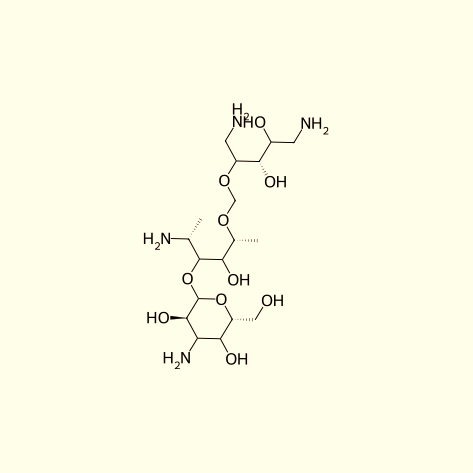 C[C@@H](N)C(OC1O[C@H](CO)C(O)C(N)[C@H]1O)C(O)[C@@H](C)OCOC(CN)[C@@H](O)C(O)CN